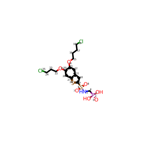 O=P(O)(O)CNS(=O)(=O)c1cc2cc(OCCCCCl)c(OCCCCl)cc2s1